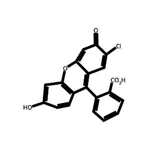 O=C(O)c1ccccc1-c1c2cc(Cl)c(=O)cc-2oc2cc(O)ccc12